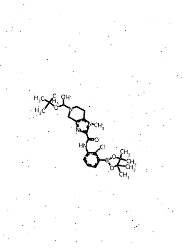 Cn1c(C(=O)Nc2cccc(B3OC(C)(C)C(C)(C)O3)c2Cl)nc2c1CCN(C(O)OC(C)(C)C)C2